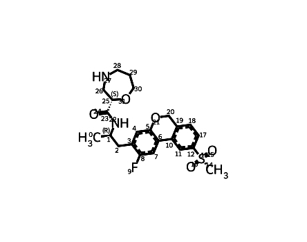 C[C@H](Cc1cc2c(cc1F)-c1cc(S(C)(=O)=O)ccc1CO2)NC(=O)[C@@H]1CNCCCO1